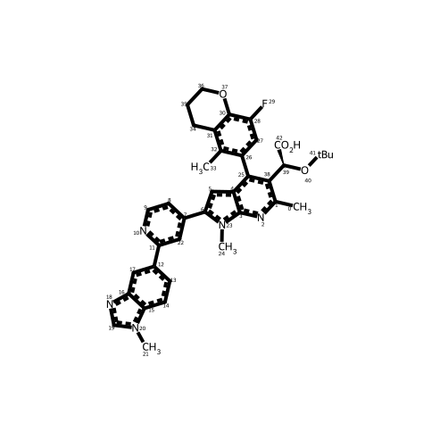 Cc1nc2c(cc(-c3ccnc(-c4ccc5c(c4)ncn5C)c3)n2C)c(-c2cc(F)c3c(c2C)CCCO3)c1[C@H](OC(C)(C)C)C(=O)O